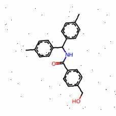 Cc1ccc(C(NC(=O)c2ccc(CO)cc2)c2ccc(C)cc2)cc1